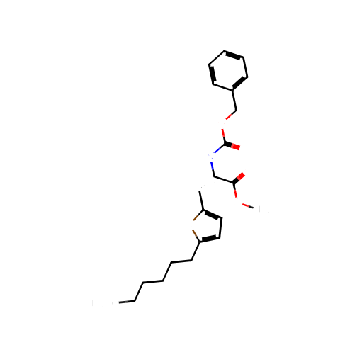 CC(C)(C)OC(=O)[C@H](Cc1ccc(CCCCCC(=O)O)s1)NC(=O)OCc1ccccc1